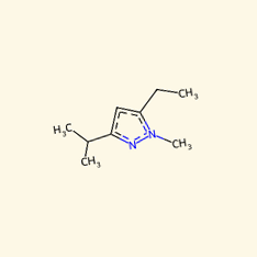 CCc1cc(C(C)C)nn1C